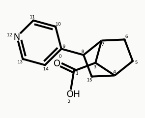 O=C(O)C1C2CCC1C(c1ccncc1)C2